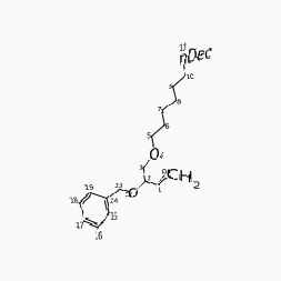 C=CC(COCCCCCCCCCCCCCCCC)OCc1ccccc1